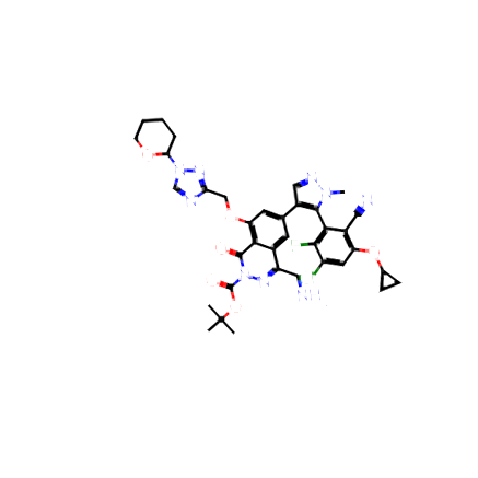 Cn1ncc(-c2cc(OCc3ncn(C4CCCCO4)n3)c3c(=O)n(C(=O)OC(C)(C)C)nc(CN)c3c2)c1-c1c(F)c(Cl)cc(OC2CC2)c1C#N